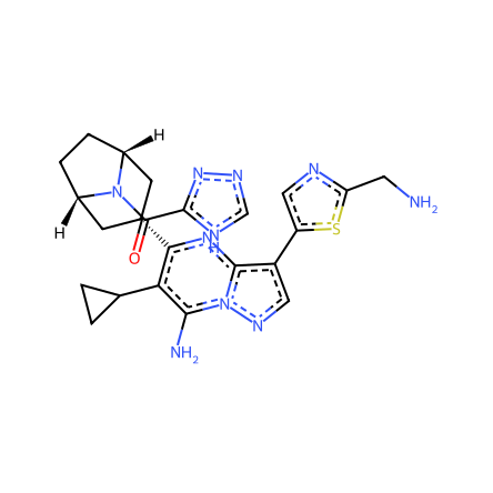 NCc1ncc(-c2cnn3c(N)c(C4CC4)c([C@H]4C[C@H]5CC[C@@H](C4)N5C(=O)c4nnc[nH]4)nc23)s1